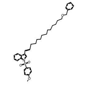 COc1ccc(S(=O)(=O)n2cc(C=CCCCCCCCCCCCCOCc3ccccc3)c3ccccc32)cc1